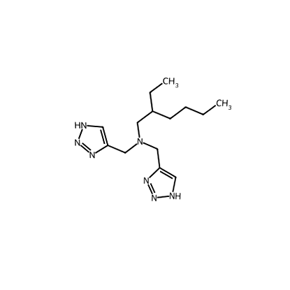 CCCCC(CC)CN(Cc1c[nH]nn1)Cc1c[nH]nn1